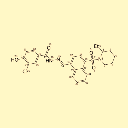 CCC1CCCCN1S(=O)(=O)c1ccc(C=NNC(=O)c2ccc(O)c(Cl)c2)c2ccccc12